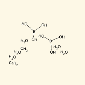 O.O.O.O.O.O.OB(O)O.OB(O)O.[CaH2]